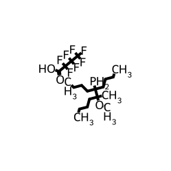 CCCCC(P)(CCCC)C(C)(CCCC)OC.O=C(O)C(F)(F)C(F)(F)C(F)(F)F